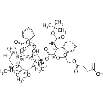 CNCCC(=O)OCC(=O)O[C@@H](C(=O)O[C@H]1C[C@@]2(O)[C@@H](OC(=O)c3ccccc3)[C@@H]3[C@]4(OC(C)=O)CO[C@@H]4C[C@H](OC)[C@@]3(C)C(=O)[C@H](OC)C(=C1C)C2(C)C)[C@@H](NC(=O)OC(C)(C)C)c1ccccc1